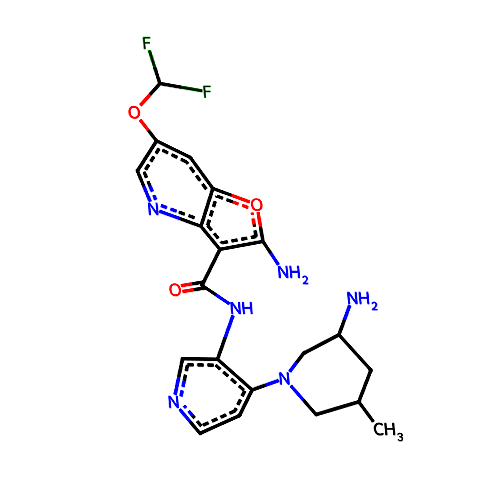 CC1CC(N)CN(c2ccncc2NC(=O)c2c(N)oc3cc(OC(F)F)cnc23)C1